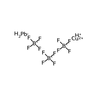 F[B-](F)(F)F.F[B-](F)(F)F.F[B-](F)(F)F.[Cu+2].[H+].[PbH2]